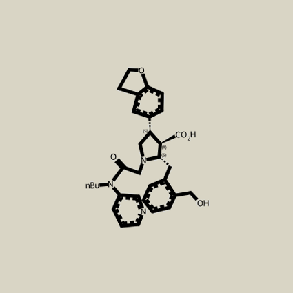 CCCCN(C(=O)CN1C[C@H](c2ccc3c(c2)CCO3)[C@@H](C(=O)O)[C@@H]1Cc1ccccc1CO)c1cccnc1